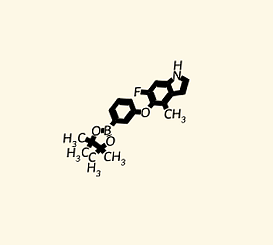 Cc1c(Oc2cccc(B3OC(C)(C)C(C)(C)O3)c2)c(F)cc2[nH]ccc12